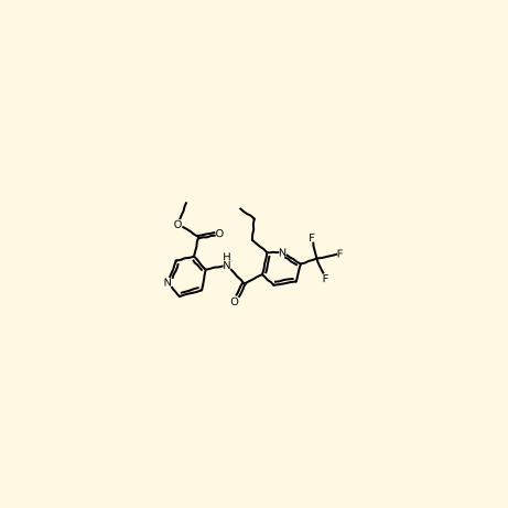 CCCc1nc(C(F)(F)F)ccc1C(=O)Nc1ccncc1C(=O)OC